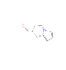 O=CC1CCn2cccc2C1